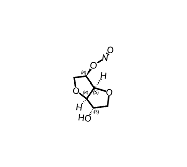 O=NO[C@@H]1CO[C@H]2[C@@H]1OC[C@@H]2O